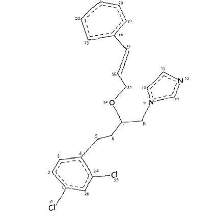 Clc1ccc(CCC(Cn2ccnc2)OC/C=C/c2ccccc2)c(Cl)c1